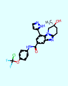 C[C@]1(O)CCc2nc3cc(C(=O)Nc4ccc(OC(F)(F)Cl)cc4)cc(-c4ccn[nH]4)c3n2C1